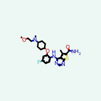 COCCN(C)C1CCC(Oc2cc(F)ccc2Nc2ncnc3sc(C(N)=O)c(C)c23)CC1